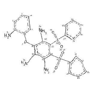 Nc1ccccc1Oc1c(N)c(N)c(S(=O)(=O)c2ccccc2)c(S(=O)(=O)c2ccccc2)c1N